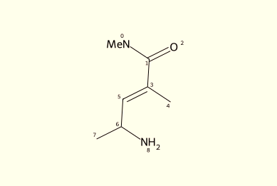 CNC(=O)C(C)=CC(C)N